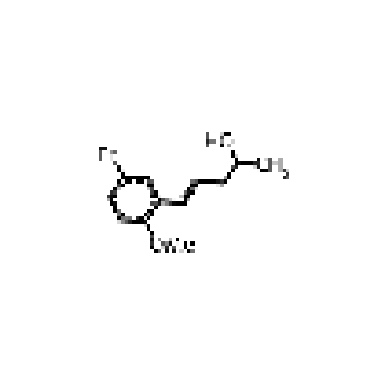 COc1ccc(C(C)C)cc1/C=C/C[C@H](C)O